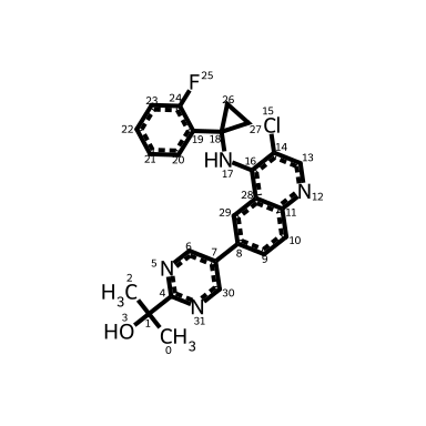 CC(C)(O)c1ncc(-c2ccc3ncc(Cl)c(NC4(c5ccccc5F)CC4)c3c2)cn1